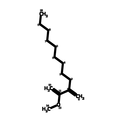 C=C(CCCCCCCCC)C(=C)OC